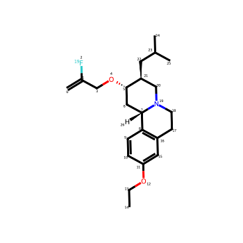 C=C([19F])CO[C@H]1C[C@H]2c3ccc(OCC)cc3CCN2C[C@@H]1CC(C)C